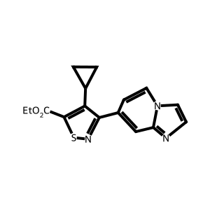 CCOC(=O)c1snc(-c2ccn3ccnc3c2)c1C1CC1